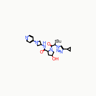 CC(C)(C)C(C(=O)N1CC(O)CC1C(=O)NC1CN(c2ccncc2)C1)n1cc(C2CC2)nn1